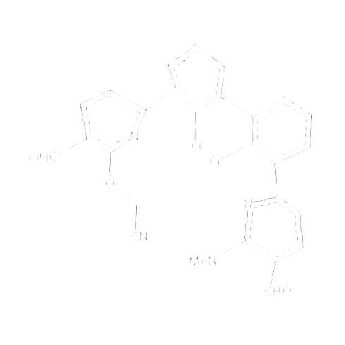 CNc1nc(-c2cccc(-c3cccc(-c4ccc(C=O)c(OCC#N)n4)c3Cl)c2Cl)ccc1C=O